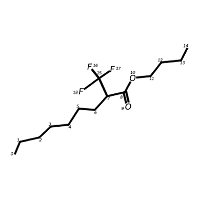 CCCCCCCC(C(=O)OCCCC)C(F)(F)F